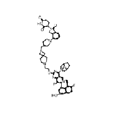 C#Cc1c(F)ccc2cc(O)cc(-c3ncc4c(N5CC6CCC(C5)N6)nc(OCCN5CCC6(CC5)CN(CC5CCN(c7cccc8c7CN(C7CCC(=O)NC7=O)C8=O)CC5)C6)nc4c3F)c12